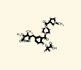 Cc1c(Cc2ccc(F)c(C(=O)N3CCN(C(=O)C4CCN(C)C4)CC3)c2)n[nH]c(=O)c1C.O=C(O)C(F)(F)F